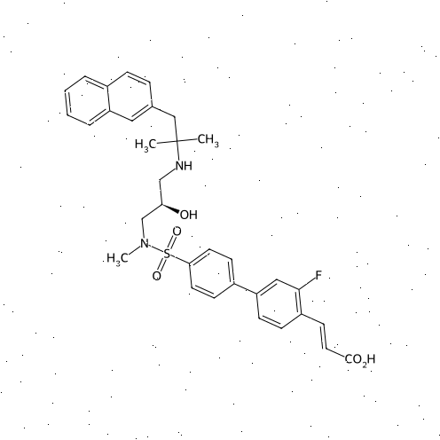 CN(C[C@H](O)CNC(C)(C)Cc1ccc2ccccc2c1)S(=O)(=O)c1ccc(-c2ccc(/C=C/C(=O)O)c(F)c2)cc1